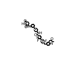 CC1=Nc2ccc(CN3CCN(c4ccc(C(=O)NC5CCN(c6cccc(NC7CCC(=O)NC7=O)c6)CC5)nc4F)CC3)c(F)c2CC1=O